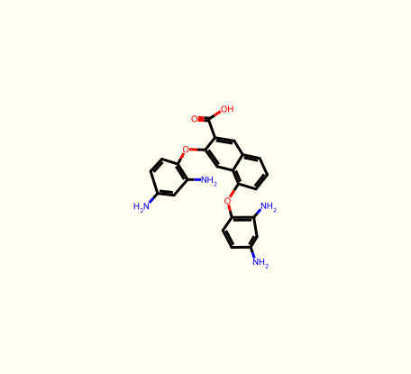 Nc1ccc(Oc2cc3c(Oc4ccc(N)cc4N)cccc3cc2C(=O)O)c(N)c1